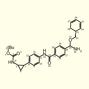 CC(C)(C)OC(=O)NC1CC1c1ccc(NC(=O)c2ccc(C(N)OC[C@@H]3C=CC=CC3)cc2)cc1